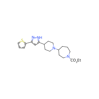 CCOC(=O)N1CCCC(N2CCC(c3cc(-c4cccs4)n[nH]3)CC2)CC1